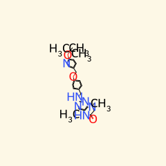 Cc1nc(NCc2ccc(OCc3ccc(OC(C)(C)C)nc3)cc2)nc2c1NC(=O)CN2C